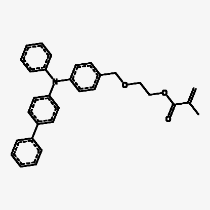 C=C(C)C(=O)OCCOCc1ccc(N(c2ccccc2)c2ccc(-c3ccccc3)cc2)cc1